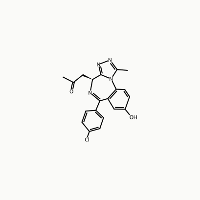 CC(=O)C[C@@H]1N=C(c2ccc(Cl)cc2)c2cc(O)ccc2-n2c(C)nnc21